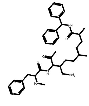 CNC(Cc1ccccc1)C(=O)NC(C(C)=O)C(CN)CCC(C)CCC(C)C(=O)NC(c1ccccc1)c1ccccc1